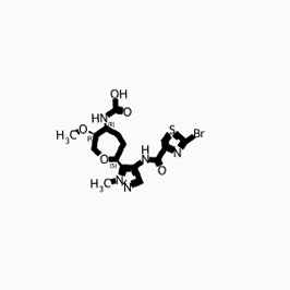 CO[C@H]1CO[C@H](c2c(NC(=O)c3csc(Br)n3)cnn2C)CC[C@H]1NC(=O)O